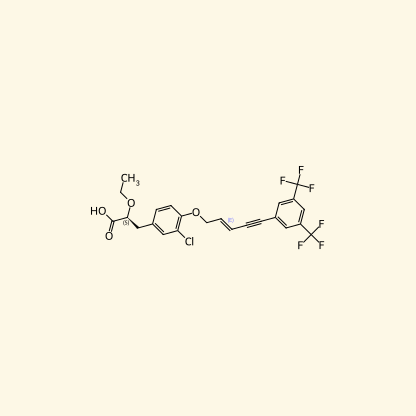 CCO[C@@H](Cc1ccc(OC/C=C/C#Cc2cc(C(F)(F)F)cc(C(F)(F)F)c2)c(Cl)c1)C(=O)O